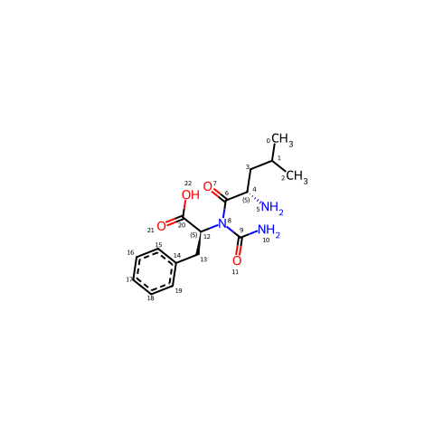 CC(C)C[C@H](N)C(=O)N(C(N)=O)[C@@H](Cc1ccccc1)C(=O)O